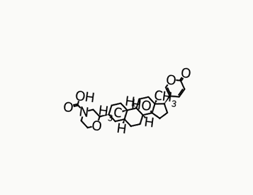 C[C@]12CC[C@H](C3CN(C(=O)O)CCO3)C[C@H]1CC[C@@H]1[C@@H]2CC[C@]2(C)[C@@H](c3ccc(=O)oc3)CC[C@]12O